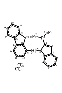 CCCP(CCC)C1=Cc2ccccc2[CH]1[Hf+2][c]1cccc2c1Cc1ccccc1-2.[Cl-].[Cl-]